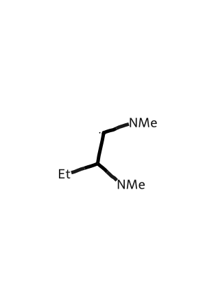 [CH2]CC([CH]NC)NC